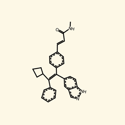 CNC(=O)C=Cc1ccc(C(=C(c2ccccc2)C2CCC2)c2ccc3[nH]ncc3c2)cc1